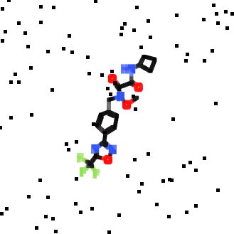 CON(Cc1ccc(-c2noc(C(F)(F)F)n2)cc1)C(=O)C(=O)NC1CCC1